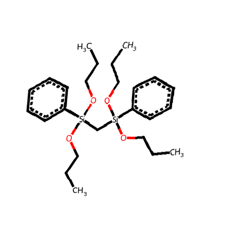 CCCO[Si](C[Si](OCCC)(OCCC)c1ccccc1)(OCCC)c1ccccc1